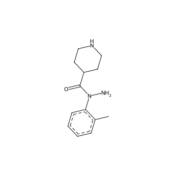 Cc1ccccc1N(N)C(=O)C1CCNCC1